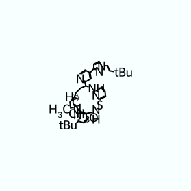 CC(C)(C)CCn1ccc(-c2ccnc(C3CC[C@@H]4CN(c5nc(C(C)(C)C)ccc5C(=O)NSc5cccc(n5)N3)C(C)(C)C4)c2)n1